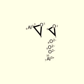 C1CO1.C1CO1.[Al+3].[Al+3].[O-2].[O-2].[O-2]